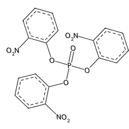 O=[N+]([O-])c1ccccc1OP(=O)(Oc1ccccc1[N+](=O)[O-])Oc1ccccc1[N+](=O)[O-]